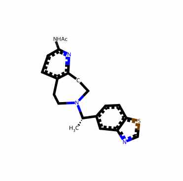 CC(=O)Nc1ccc2c(n1)CCN([C@@H](C)c1ccc3scnc3c1)CC2